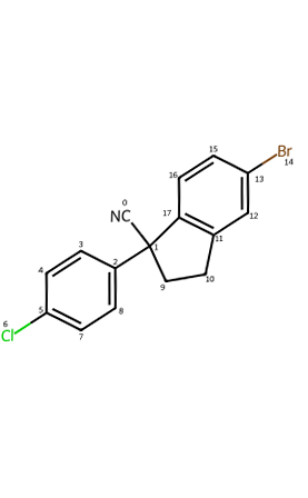 N#CC1(c2ccc(Cl)cc2)CCc2cc(Br)ccc21